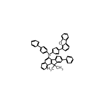 CC1(C)c2cc(-c3ccccc3)ccc2-c2c(N(c3ccc(-c4ccccc4)cc3)c3ccc(-c4cccc5c4oc4ccccc45)cc3)cc3ccccc3c21